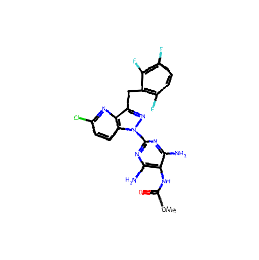 COC(=O)Nc1c(N)nc(-n2nc(Cc3c(F)ccc(F)c3F)c3nc(Cl)ccc32)nc1N